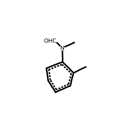 Cc1ccccc1N(C)C=O